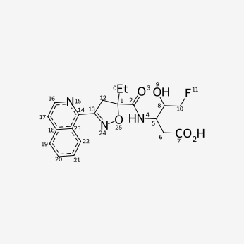 CCC1(C(=O)NC(CC(=O)O)C(O)CF)CC(c2nccc3ccccc23)=NO1